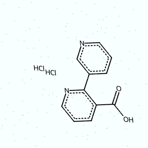 Cl.Cl.O=C(O)c1cccnc1-c1cccnc1